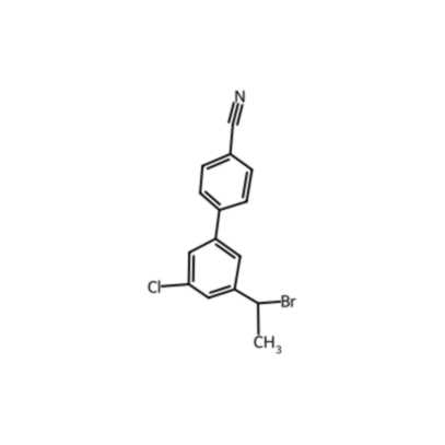 CC(Br)c1cc(Cl)cc(-c2ccc(C#N)cc2)c1